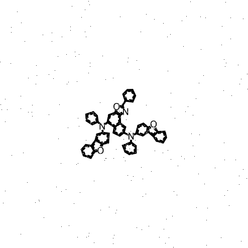 c1ccc(-c2nc3c(cc(N(c4ccccc4)c4ccc5oc6ccccc6c5c4)c4ccc(N(c5ccccc5)c5ccc6oc7ccccc7c6c5)cc43)o2)cc1